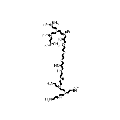 CCCNCCN(CCNCCN)CCN(CCN)CCNCCNCC(O)COCCOCCOCC(O)CN(CCC)CCN(CCN(C)CCC)CCN(CCC)CCN(C)CCC